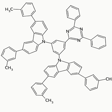 Cc1cccc(-c2ccc3c(c2)c2cc(-c4cccc(C)c4)ccc2n3-c2cc(-c3nc(-c4ccccc4)nc(-c4ccccc4)n3)cc(-n3c4ccc(-c5cccc(C)c5)cc4c4cc(-c5cccc(C)c5)ccc43)c2)c1